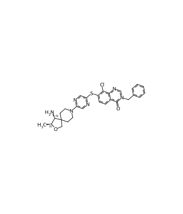 C[C@@H]1OCC2(CCN(c3cnc(Sc4ccc5c(=O)n(Cc6ccccc6)cnc5c4Cl)cn3)CC2)[C@@H]1N